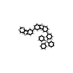 c1ccc([Si](c2ccccc2)(c2ccccc2)c2cccc(-c3ccc4oc5ccc(-c6ccc7oc8cncnc8c7c6)cc5c4c3)c2)cc1